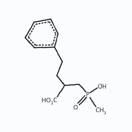 CP(=O)(O)CC(CCc1ccccc1)C(=O)O